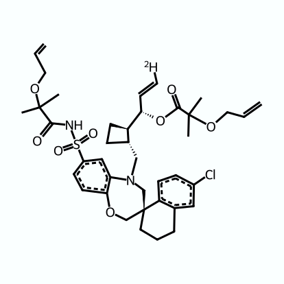 [2H]/C=C/[C@H](OC(=O)C(C)(C)OCC=C)[C@@H]1CC[C@H]1CN1C[C@@]2(CCCc3cc(Cl)ccc32)COc2ccc(S(=O)(=O)NC(=O)C(C)(C)OCC=C)cc21